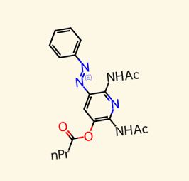 CCCC(=O)Oc1cc(/N=N/c2ccccc2)c(NC(C)=O)nc1NC(C)=O